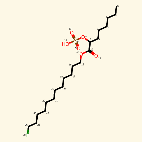 CCCCCCC(OS(=O)(=O)O)C(=O)OCCCCCCCCCCCCF